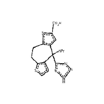 CCCC1(c2nn[nH]n2)c2ccsc2CCc2sc(C(=O)O)cc21